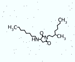 CCCCCCCCNC1CC(=O)N(CCC(C)CCCCC)C1=O